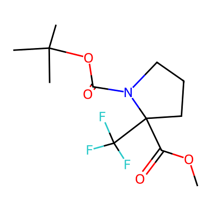 COC(=O)C1(C(F)(F)F)CCCN1C(=O)OC(C)(C)C